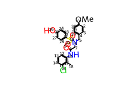 COc1ccc(CN(CC(=O)Nc2cccc(Cl)c2C)S(=O)(=O)c2ccc(O)cc2)cc1